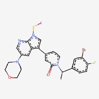 CC(c1ccc(F)c(Br)c1)n1ccc(-c2cn(SI)c3ncc(N4CCOCC4)cc23)cc1=O